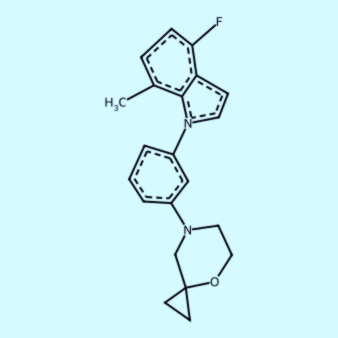 Cc1ccc(F)c2ccn(-c3cccc(N4CCOC5(CC5)C4)c3)c12